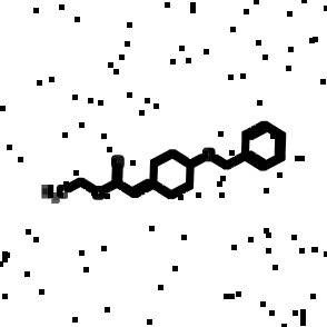 CCOC(=O)C=C1CCC(OCc2ccccc2)CC1